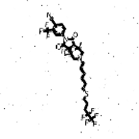 C[C@]12CN(CCCCCCSCCCC(F)(F)C(F)(F)F)C[C@](C)(O1)C1C(=O)N(c3ccc(C#N)c(C(F)(F)F)c3)C(=O)[C@H]12